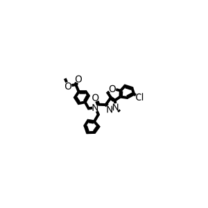 COC(=O)c1ccc(CN(Cc2ccccc2)C(=O)c2nn(C)c3c2COc2ccc(Cl)cc2-3)cc1